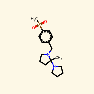 CC1(N2CCCC2)CCCN1Cc1ccc(S(C)(=O)=O)cc1